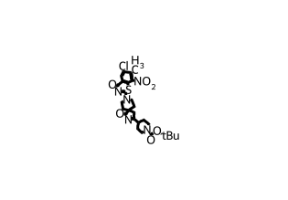 Cc1c(Cl)cc2c(=O)nc(N3CCC4(CC3)CC(C3CCN(C(=O)OC(C)(C)C)CC3)=NC4=O)sc2c1[N+](=O)[O-]